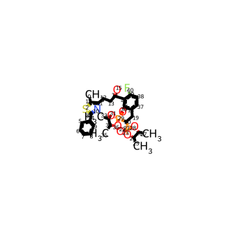 Cc1sc(-c2ccccc2)nc1CCC(=O)c1cc(CC(P2(=O)OC(C)C(C)O2)P2(=O)OC(C)C(C)O2)ccc1F